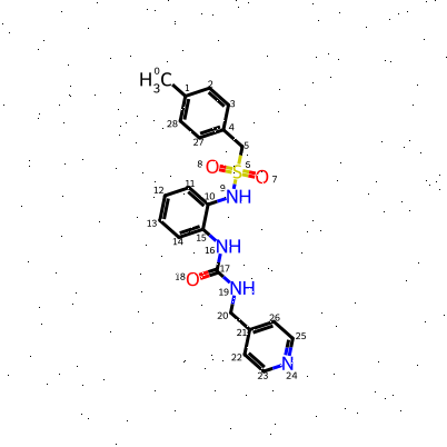 Cc1ccc(CS(=O)(=O)Nc2ccccc2NC(=O)NCc2ccncc2)cc1